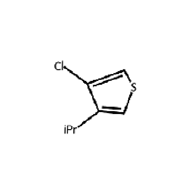 CC(C)c1cscc1Cl